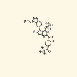 [2H]C([2H])([2H])Oc1nc(N[C@H]2CCN(C(=O)C([2H])([2H])[2H])C[C@H]2F)nn2cc(F)c(-c3ccc4nnn(CCF)c4c3)c12